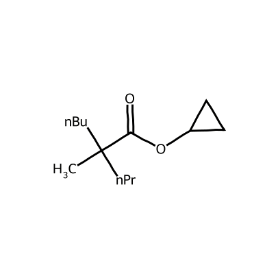 CCCCC(C)(CCC)C(=O)OC1CC1